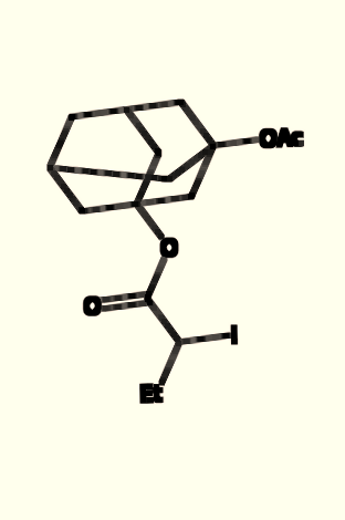 CCC(I)C(=O)OC12CC3CC(CC(OC(C)=O)(C3)C1)C2